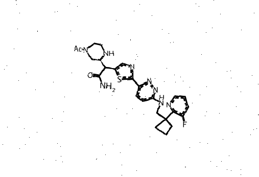 CC(=O)N1CCN[C@@H](C(C(N)=O)c2cnc(-c3ccc(NCC4(c5ncccc5F)CCC4)nn3)s2)C1